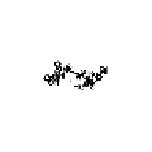 Cc1ncsc1-c1ccc(CNC(=O)[C@@H]2C[C@@H](O)CN2C(=O)[C@@H](NC(=O)CCCCCC(=O)NCC(COc2cc(-c3ccccc3O)nnc2N)c2ccccc2)C(C)(C)C)cc1